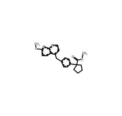 COC(=O)C1(c2ccc(Cc3ccnc4nc(OC)ccc34)cc2)CCCC1